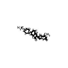 Cc1cc(F)cn2cc(-c3cc4ccc(N5CCCN(C)CC5)cc4oc3=O)nc12